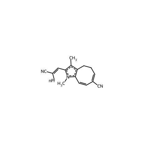 CCC/C(C#N)=C\c1c(C)c2c(n1C)/C=C\C(C#N)=CCC2